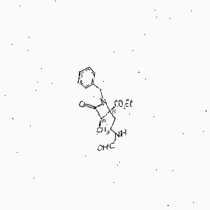 CCOC(=O)[C@@]1(CCNC=O)[C@@H](C)C(=O)N1Cc1ccccc1